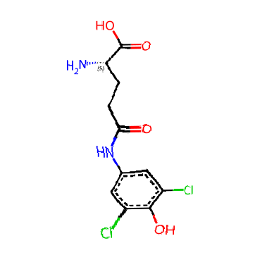 N[C@@H](CCC(=O)Nc1cc(Cl)c(O)c(Cl)c1)C(=O)O